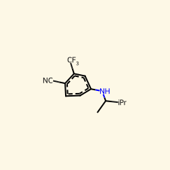 CC(C)C(C)Nc1ccc(C#N)c(C(F)(F)F)c1